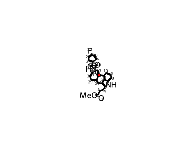 COC(=O)CCc1[nH]c2cccc(CCNS(=O)(=O)c3ccc(F)cc3)c2c1Cc1cccnc1